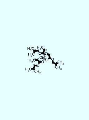 C=CC(OCC(=C)C)OP(=O)(OC(C=C)OCC(=C)C)OC(C=C)OCC(=C)C